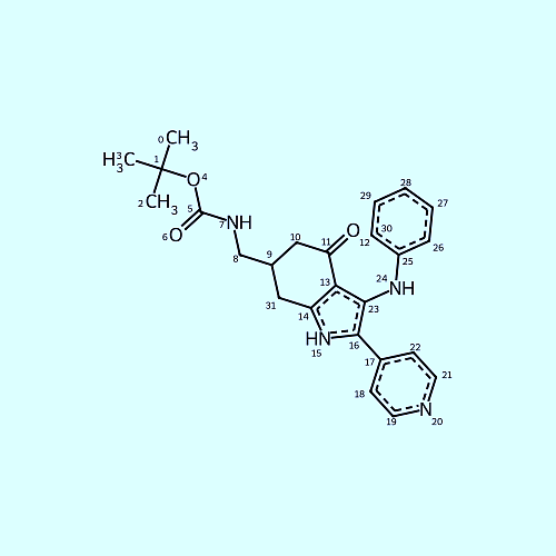 CC(C)(C)OC(=O)NCC1CC(=O)c2c([nH]c(-c3ccncc3)c2Nc2ccccc2)C1